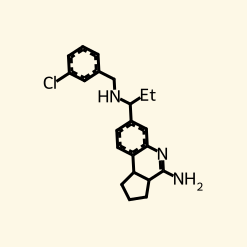 CCC(NCc1cccc(Cl)c1)c1ccc2c(c1)N=C(N)C1CCCC21